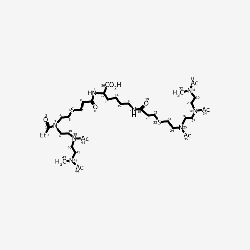 CCC(=O)N(CCSCCC(=O)NC(CCCCNC(=O)CCSCCN(CCN(CCN(C)C(C)=O)C(C)=O)C(C)=O)C(=O)O)CCN(CCN(C)C(C)=O)C(C)=O